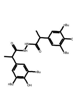 CCCCc1cc(C(C)C(=O)NNC(=O)C(C)c2cc(CCCC)c(O)c(CCCC)c2)cc(CCCC)c1O